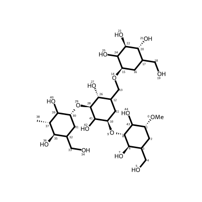 CO[C@@H]1CC(CO)[C@@H](O)[C@H](O[C@@H]2CC(CO[C@@H]3CC(CO)[C@@H](O)[C@H](O)C3O)[C@@H](O)[C@H](O[C@@H]3CC(CO)[C@@H](O)[C@H](C)C3O)C2O)C1O